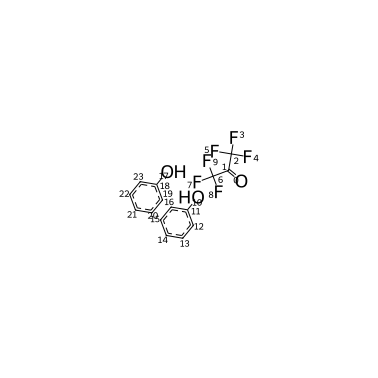 O=C(C(F)(F)F)C(F)(F)F.Oc1ccccc1.Oc1ccccc1